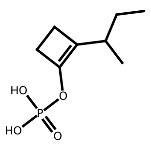 CCC(C)C1=C(OP(=O)(O)O)CC1